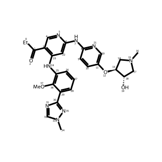 CCC(=O)c1cnc(Nc2ccc(O[C@H]3CN(C)C[C@@H]3O)cn2)cc1Nc1cccc(-c2ncn(C)n2)c1OC